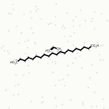 C=CC.O=C(O)CCCCCCCCCCCCCCCCCCC(=O)O